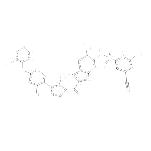 Cc1cc(C#N)cc(S(=O)(=O)Nc2cc3[nH]c(C(=O)c4cnn(-c5cnc(Oc6ccccc6F)cc5C)c4N)cc3cc2C)n1